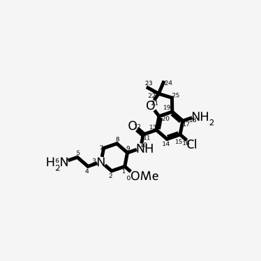 COC1CN(CCN)CCC1NC(=O)c1cc(Cl)c(N)c2c1OC(C)(C)C2